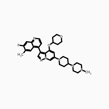 Cc1cc2c(-c3cnn4cc(N5CCC(N6CCN(C)CC6)CC5)cc(OC5CCOCC5)c34)ccnc2cc1F